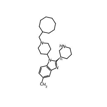 Cc1ccc2c(c1)nc([C@@H]1CCCNC1)n2C1CCN(CC2CCCCCCC2)CC1